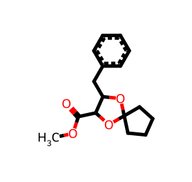 COC(=O)C1OC2(CCCC2)OC1Cc1ccccc1